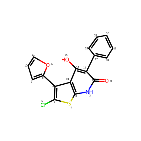 O=c1[nH]c2sc(Cl)c(-c3ccco3)c2c(O)c1-c1ccccc1